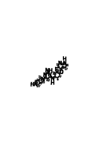 Nc1nc(Nc2ccc(Oc3ccnc4[nH]ccc34)c(F)c2)cc(N2CC3CNCC3C2)n1